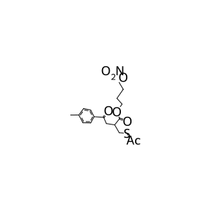 CC(=O)SCC(CC(=O)c1ccc(C)cc1)C(=O)OCCCCO[N+](=O)[O-]